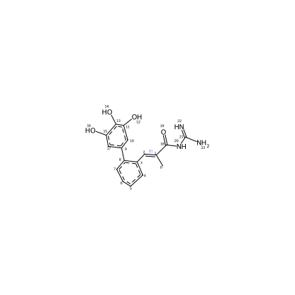 C/C(=C\c1ccccc1-c1cc(O)c(O)c(O)c1)C(=O)NC(=N)N